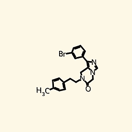 Cc1ccc(CCN2Cc3c(-c4cccc(Br)c4)ncn3CC2=O)cc1